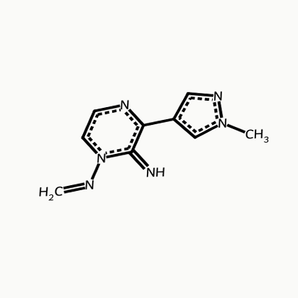 C=Nn1ccnc(-c2cnn(C)c2)c1=N